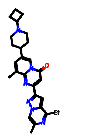 CCc1nc(C)cn2nc(-c3cc(=O)n4cc(C5CCN(C6CCC6)CC5)cc(C)c4n3)cc12